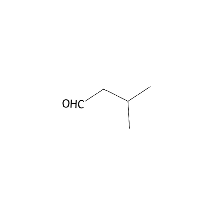 CC(C)C[13CH]=O